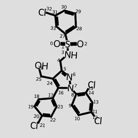 O=S(=O)(NCc1nn(-c2ccc(Cl)cc2Cl)c(-c2ccc(Cl)cc2)c1CO)c1cccc(Cl)c1